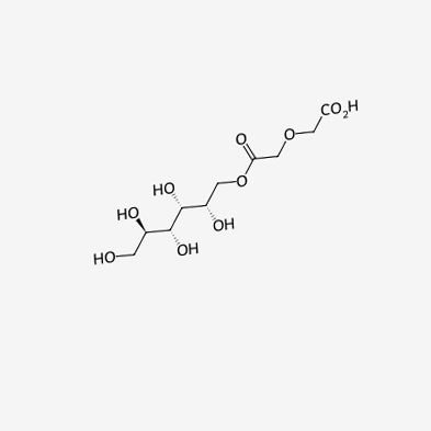 O=C(O)COCC(=O)OC[C@H](O)[C@@H](O)[C@H](O)[C@H](O)CO